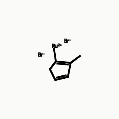 CC1=[C]([Ru+2])CC=C1.[Br-].[Br-]